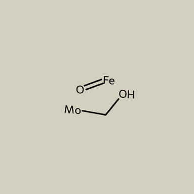 O[CH2][Mo].[O]=[Fe]